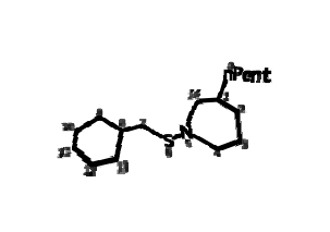 CCCCCC1CCCN(SCC2CCCCC2)C1